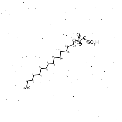 CC(=O)CCCCCCCCCCCCCCOS(=O)(=O)OS(=O)(=O)O